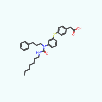 CCCCCCCNC(=O)N(CCCc1ccccc1)c1cccc(Sc2ccc(CC(=O)O)cc2)c1